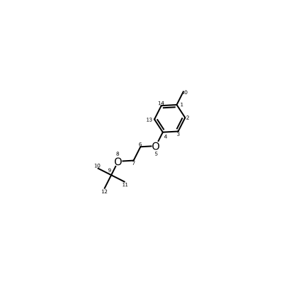 [CH2]c1ccc(OCCOC(C)(C)C)cc1